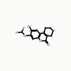 O=c1oc2cc(OC(F)F)c(Cl)cc2c2c1CCCC2